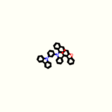 c1cc(N(c2ccccc2-c2cccc3oc4ccccc4c23)c2cccc3ccccc23)cc(-n2c3ccccc3c3ccccc32)c1